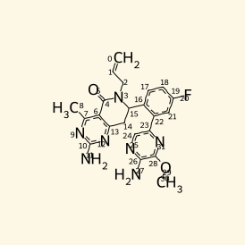 C=CCN1C(=O)c2c(C)nc(N)nc2CC1c1ccc(F)cc1-c1cnc(N)c(OC)n1